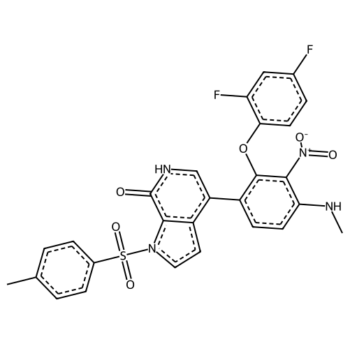 CNc1ccc(-c2c[nH]c(=O)c3c2ccn3S(=O)(=O)c2ccc(C)cc2)c(Oc2ccc(F)cc2F)c1[N+](=O)[O-]